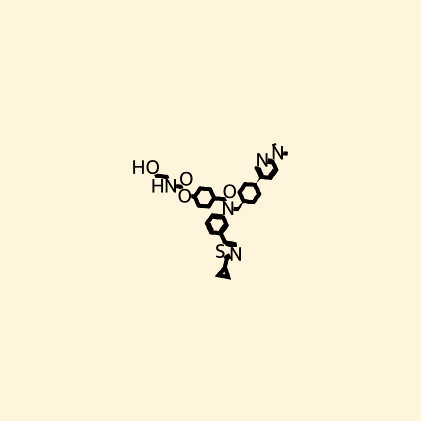 CN(C)c1ccc([C@H]2CC[C@H](CN(C(=O)C3CCC(OC(=O)NCCO)CC3)c3cccc(-c4cnc(C5CC5)s4)c3)CC2)cn1